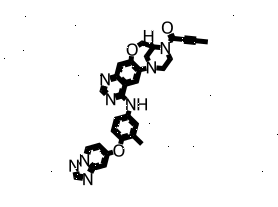 CC#CC(=O)N1CCN2C[C@@H]1COc1cc3ncnc(Nc4ccc(Oc5ccn6ncnc6c5)c(C)c4)c3cc12